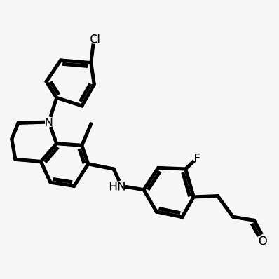 Cc1c(CNc2ccc(CCC=O)c(F)c2)ccc2c1N(c1ccc(Cl)cc1)CCC2